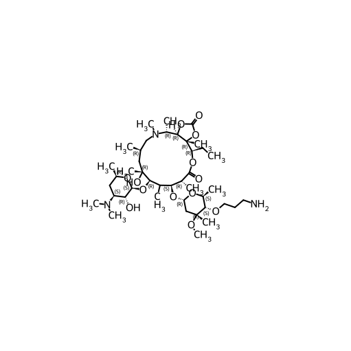 CC[C@H]1OC(=O)[C@H](C)[C@@H](O[C@H]2C[C@@](C)(OC)[C@@H](OCCCN)[C@H](C)O2)C(C)[C@@H](O[C@@H]2O[C@H](C)C[C@H](N(C)C)[C@H]2O)[C@](C)(O)C[C@@H](C)CN(C)[C@H](C)[C@H]2OC(=O)O[C@@]21C